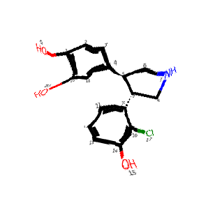 Oc1ccc([C@H]2CNC[C@@H]2c2cccc(O)c2Cl)cc1O